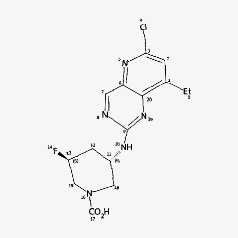 CCc1cc(Cl)nc2cnc(N[C@H]3C[C@H](F)CN(C(=O)O)C3)nc12